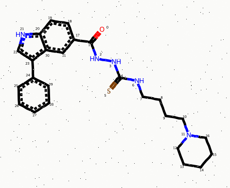 O=C(NNC(=S)NCCCCN1CCCCC1)c1ccc2[nH]cc(-c3ccccc3)c2c1